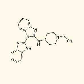 N#CCN1CCC(Nc2nc3ccccc3n2-c2nc3ccccc3[nH]2)CC1